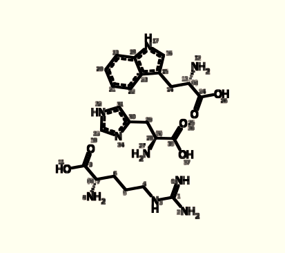 N=C(N)NCCC[C@H](N)C(=O)O.N[C@@H](Cc1c[nH]c2ccccc12)C(=O)O.N[C@@H](Cc1c[nH]cn1)C(=O)O